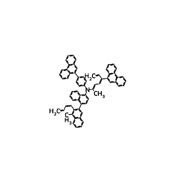 C=C/C=C\c1c(-c2ccc(N(/C(C)=C/C=C(\C=C)c3cc4ccccc4c4ccccc34)c3ccc(-c4cc5ccccc5c5ccccc45)cc3)c3ccccc23)cc2ccccc2c1C